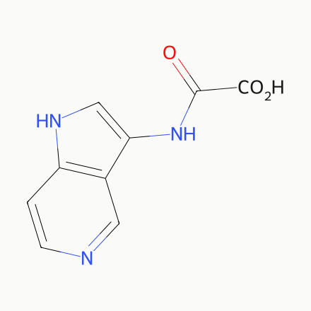 O=C(O)C(=O)Nc1c[nH]c2ccncc12